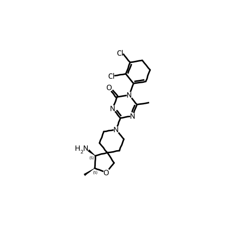 Cc1nc(N2CCC3(CC2)CO[C@@H](C)[C@H]3N)nc(=O)n1C1=CCCC(Cl)=C1Cl